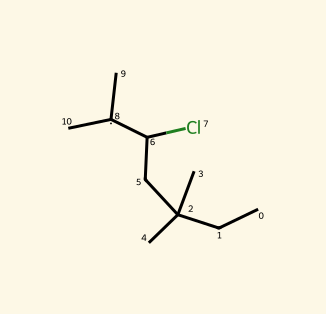 CCC(C)(C)CC(Cl)[C](C)C